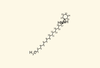 CCCCCCCCCCCCCCCCCCNNC1CCCCC1